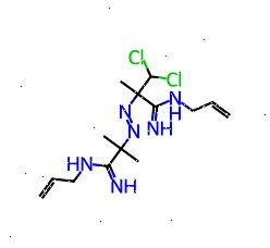 C=CCNC(=N)C(C)(C)N=NC(C)(C(=N)NCC=C)C(Cl)Cl